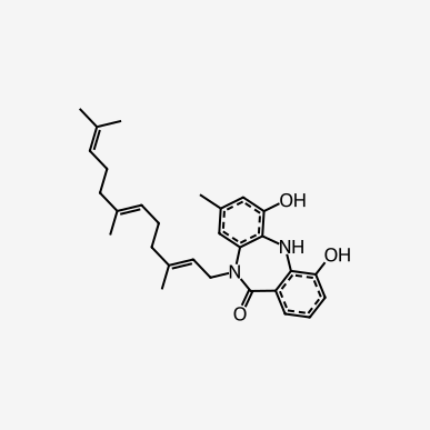 CC(C)=CCC/C(C)=C/CC/C(C)=C/CN1C(=O)c2cccc(O)c2Nc2c(O)cc(C)cc21